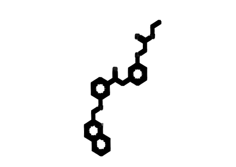 CCOC(=O)COc1cccc(CC(=O)c2cccc(OCc3ccc4ccccc4n3)c2)c1